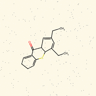 CCC1=CC2C(=O)C3=CCCC=C3SC2C(CC)=C1